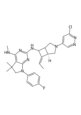 C/C=C1/C(Nc2nc(NC)c3c(n2)N(c2ccc(F)cc2)CC3(C)C)C2CN(c3cnnc(Cl)c3)C[C@@H]12